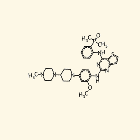 COc1cc(N2CCC(N3CCN(C)CC3)CC2)ccc1Nc1nc(Nc2ccccc2P(C)(C)=O)c2sccc2n1